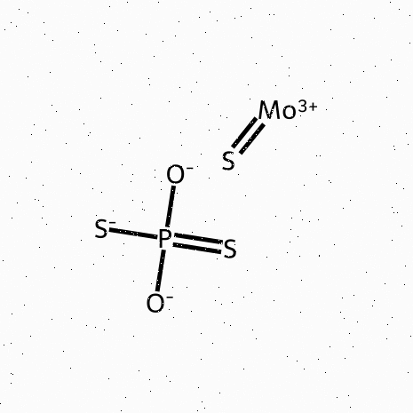 [O-]P([O-])(=S)[S-].[S]=[Mo+3]